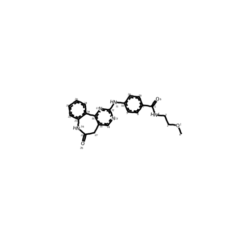 COCCNC(=O)c1ccc(Nc2ncc3c(n2)-c2ccccc2NC(=O)C3)cc1